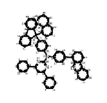 c1ccc(-c2cc(-c3ccccc3)nc(N(c3ccc(-c4cccc5c4oc4ccccc45)cc3)c3ccc(C4(c5cccc6cccnc56)c5ccccc5-c5ccccc54)cc3)n2)cc1